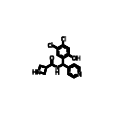 O=C(NC(c1ccncc1)c1cc(Cl)c(Cl)cc1O)C1CNC1